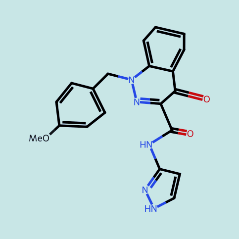 COc1ccc(Cn2nc(C(=O)Nc3cc[nH]n3)c(=O)c3ccccc32)cc1